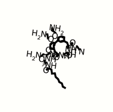 CCCCCCCCCC(=O)N[C@H](C)C(=O)N[C@@H](CCN)C(=O)N(C)[C@@H]1C(=O)N[C@@H](C)C(=O)N[C@H](C(=O)NCC#N)Cc2ccc(OCCN)c(c2)-c2cc1ccc2OCCN